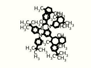 CC1c2ccc(C(C)(C)C)cc2C2(C)CCCCC2(C)CC1c1cc2c3c(c1)N(c1ccc(C(C)(C)C)cc1)c1ccc(C(C)(C)C)cc1B3c1oc3cc4c(cc3c1N2C1=CC2[C@H](C=C1)C(C)(C)CCC2(C)C)C1(C)CCC4(C)CC1